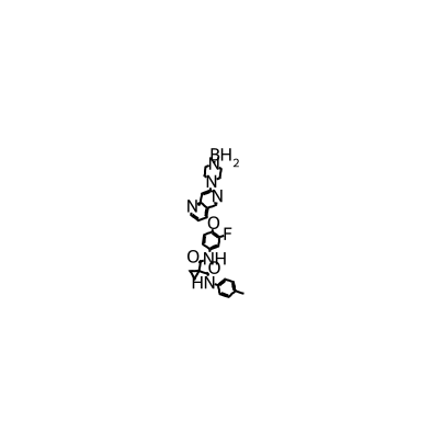 BN1CCN(c2cc3nccc(Oc4ccc(NC(=O)C5(C(=O)Nc6ccc(C)cc6)CC5)cc4F)c3cn2)CC1